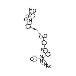 CC(=O)N1CCn2c(C3CCOCC3)nc(-c3cccc4cc(-c5ccc(C(=O)OCCCC#Cc6cccc7c6CN(C6CCC(=O)NC6=O)C7=O)cc5)ncc34)c2C1